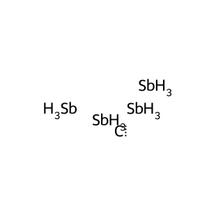 [C].[SbH3].[SbH3].[SbH3].[SbH3]